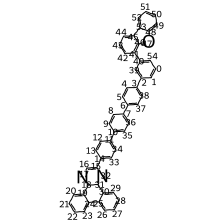 c1cc(-c2ccc(-c3ccc(-c4ccc(-c5cnc6c7ccccc7c7ccccc7c6n5)cc4)cc3)cc2)cc(-c2cccc3c2oc2ccccc23)c1